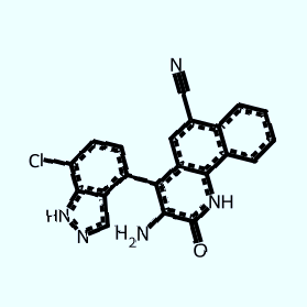 N#Cc1cc2c(-c3ccc(Cl)c4[nH]ncc34)c(N)c(=O)[nH]c2c2ccccc12